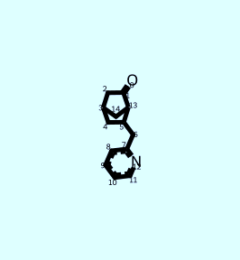 O=C1CC2CC(Cc3ccccn3)C1C2